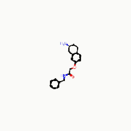 N[C@H]1CCc2ccc(OCC(=O)NCc3ccccc3)cc2C1